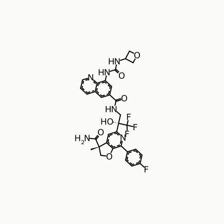 C[C@]1(C(N)=O)COc2c1cc([C@@](O)(CNC(=O)c1cc(NC(=O)NC3COC3)c3ncccc3c1)C(F)(F)F)nc2-c1ccc(F)cc1